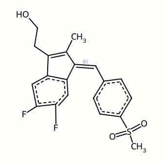 CC1=C(CCO)c2cc(F)c(F)cc2/C1=C\c1ccc(S(C)(=O)=O)cc1